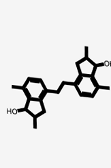 Cc1ccc(CCc2ccc(C)c3c2CC(C)C3O)c2c1C(O)C(C)C2